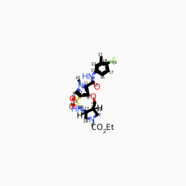 CCOC(=O)N1C[C@H]2COc3c(cn(C)c3C(=O)Nc3ccc(F)c(C)c3)S(=O)(=O)N[C@H]2C1